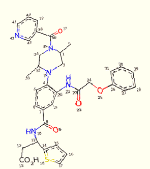 CC1CN(c2ccc(C(=O)NC(CC(=O)O)c3cccs3)cc2NC(=O)COc2ccccc2)C(C)CN1C(=O)c1cccnc1